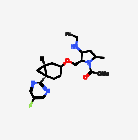 COC(=O)N1[C@H](C)C[C@H](NCC(C)C)[C@@H]1CO[C@H]1CC[C@@]2(c3ncc(F)cn3)C[C@H]2C1